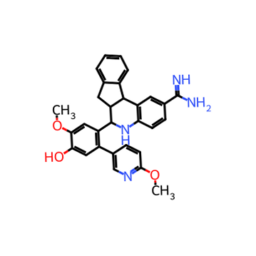 COc1ccc(-c2cc(O)c(OC)cc2C2Nc3ccc(C(=N)N)cc3C3c4ccccc4CC23)cn1